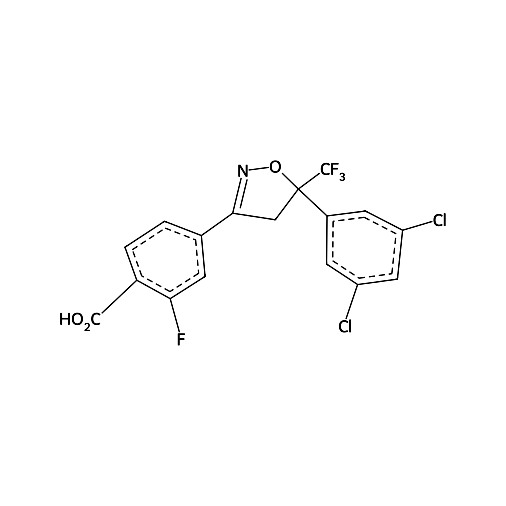 O=C(O)c1ccc(C2=NOC(c3cc(Cl)cc(Cl)c3)(C(F)(F)F)C2)cc1F